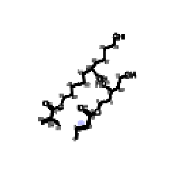 C/C=C/C(=O)OCCC(O)CCO.C=C(C)C(=O)OCCCCCC(O)CCCCO